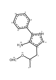 CC(Cc1n[nH]c(-c2ccccc2)c1N)OC=O